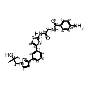 CC(C)(O)Cn1ccc(-c2cccc(-c3csc(NC(=O)CNC(=O)c4ccc(N)cc4)n3)c2)n1